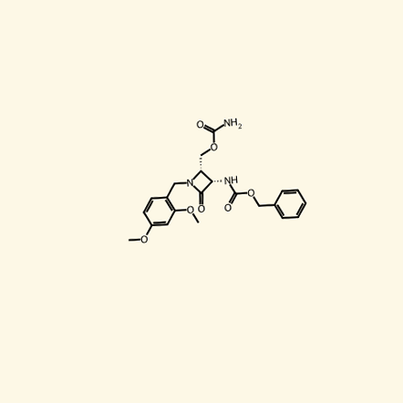 COc1ccc(CN2C(=O)[C@@H](NC(=O)OCc3ccccc3)[C@H]2COC(N)=O)c(OC)c1